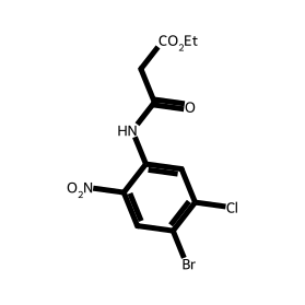 CCOC(=O)CC(=O)Nc1cc(Cl)c(Br)cc1[N+](=O)[O-]